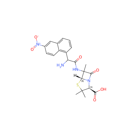 CC1(C)S[C@H]2N(C(=O)C2(C)NC(=O)C(N)c2cccc3cc([N+](=O)[O-])ccc23)[C@H]1C(=O)O